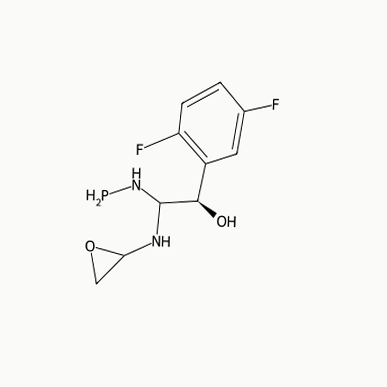 O[C@H](c1cc(F)ccc1F)C(NP)NC1CO1